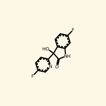 O=C1Nc2cc(F)ccc2C1(O)c1ccc(F)cn1